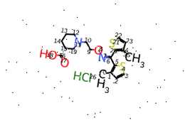 Cc1ccsc1C(=NOCCN1CCC[C@@H](C(=O)O)C1)c1sccc1C.Cl